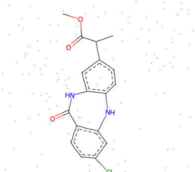 COC(=O)C(C)c1ccc2c(c1)NC(=O)c1ccc(Cl)cc1N2